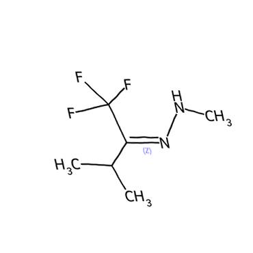 CN/N=C(/C(C)C)C(F)(F)F